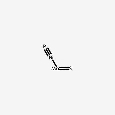 [P]#[Ni][Mo]=[S]